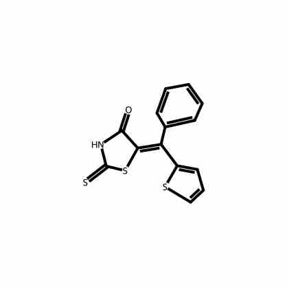 O=C1NC(=S)SC1=C(c1ccccc1)c1cccs1